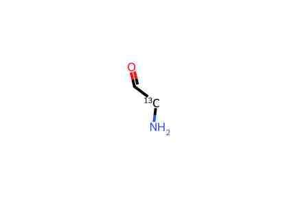 N[13CH2]C=O